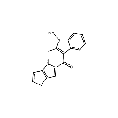 CCCn1c(C)c(C(=O)c2cc3sccc3[nH]2)c2ccccc21